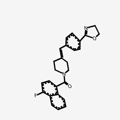 O=C(c1ccc(F)c2ccccc12)N1CCC(=Cc2ccc(C3=NCCO3)cc2)CC1